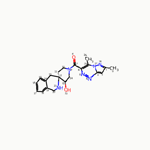 Cc1cc2nnc(C(=O)N3CC[C@]4(Cc5ccccc5CN4)[C@H](O)C3)c(C)n2n1